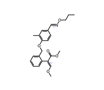 CCCO/N=C/c1ccc(OCc2ccccc2/C(=C\OC)C(=O)OC)c(C)c1